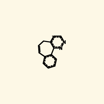 [c]1cnnc2c1CC=Cc1ccccc1-2